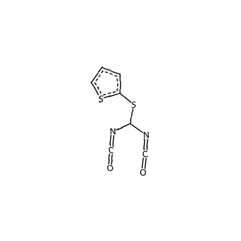 O=C=NC(N=C=O)Sc1cccs1